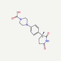 C[C@]1(c2ccc(N3CCN(C(=O)O)CC3)cc2)CCC(=O)NC1=O